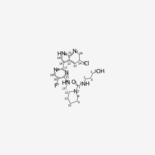 O=C(NCCCO)N1CCCC[C@@H]1CNc1nc(-c2c[nH]c3c2=CC(Cl)CN=3)ncc1F